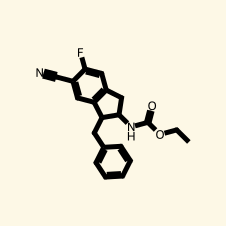 CCOC(=O)NC1Cc2cc(F)c(C#N)cc2C1Cc1ccccc1